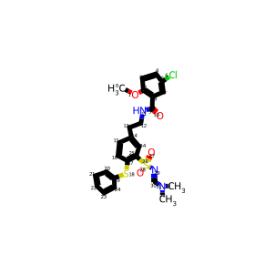 COc1ccc(Cl)cc1C(=O)NCCc1ccc(Sc2ccccc2)c(S(=O)(=O)N=CN(C)C)c1